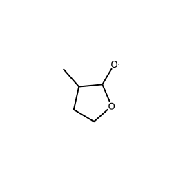 CC1CCOC1[O]